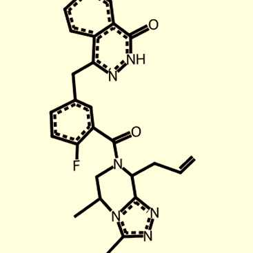 C=CCC1c2nnc(C)n2C(C)CN1C(=O)c1cc(Cc2n[nH]c(=O)c3ccccc23)ccc1F